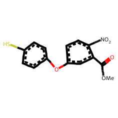 COC(=O)c1cc(Oc2ccc(S)cc2)ccc1[N+](=O)[O-]